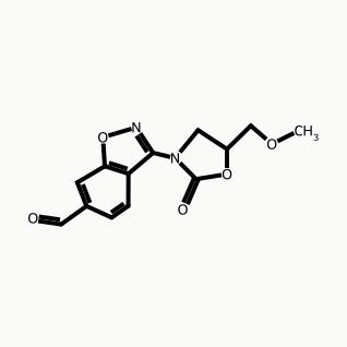 COCC1CN(c2noc3cc(C=O)ccc23)C(=O)O1